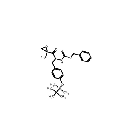 CC(C)(C)[Si](C)(C)Oc1ccc(CC(NC(=O)OCc2ccccc2)C(=O)[C@]2(C)CO2)cc1